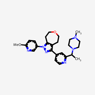 COc1ccc(-n2nc(-c3ccnc(C(C)N4CCN(C)CC4)c3)c3c2CCOCC3)cn1